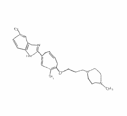 Cc1cc(-c2nc3cc(Cl)ccc3[nH]2)ccc1OCCCN1CCN(C)CC1